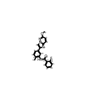 COc1ccc2nc(-c3ccc(C)c(NC(=O)c4ccccc4F)c3)cn2n1